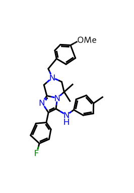 COc1ccc(CN2Cc3nc(-c4ccc(F)cc4)c(Nc4ccc(C)cc4)n3C(C)(C)C2)cc1